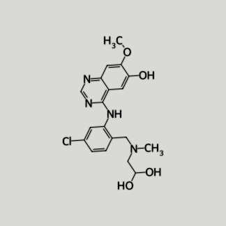 COc1cc2ncnc(Nc3cc(Cl)ccc3CN(C)CC(O)O)c2cc1O